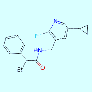 CCC(C(=O)NCc1cc(C2CC2)cnc1F)c1ccccc1